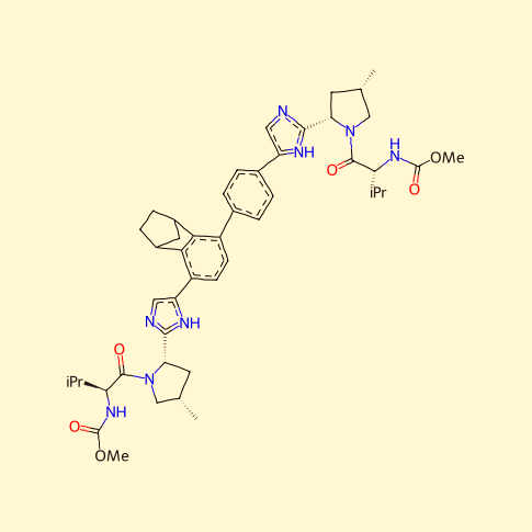 COC(=O)N[C@H](C(=O)N1C[C@@H](C)C[C@H]1c1ncc(-c2ccc(-c3ccc(-c4cnc([C@@H]5C[C@H](C)CN5C(=O)[C@H](NC(=O)OC)C(C)C)[nH]4)cc3)c3c2C2CCC3C2)[nH]1)C(C)C